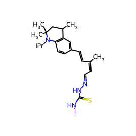 CC(=C/C=N/NC(=S)NI)/C=C/c1ccc2c(c1)C(C)CC(C)(C)N2C(C)C